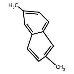 [CH2]c1ccc2cc([CH2])ccc2c1